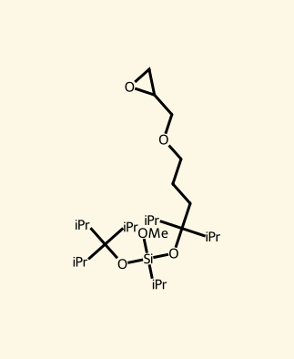 CO[Si](OC(CCCOCC1CO1)(C(C)C)C(C)C)(OC(C(C)C)(C(C)C)C(C)C)C(C)C